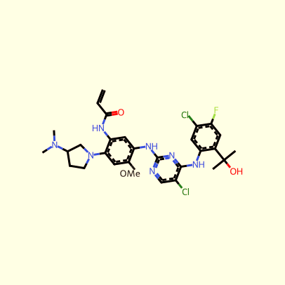 C=CC(=O)Nc1cc(Nc2ncc(Cl)c(Nc3cc(Cl)c(F)cc3C(C)(C)O)n2)c(OC)cc1N1CCC(N(C)C)C1